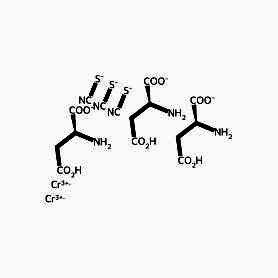 N#C[S-].N#C[S-].N#C[S-].N[C@@H](CC(=O)O)C(=O)[O-].N[C@@H](CC(=O)O)C(=O)[O-].N[C@@H](CC(=O)O)C(=O)[O-].[Cr+3].[Cr+3]